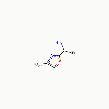 CCC(C)C(N)c1nc(C(=O)O)co1